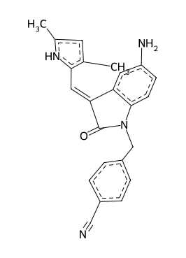 Cc1cc(C)c(C=C2C(=O)N(Cc3ccc(C#N)cc3)c3ccc(N)cc32)[nH]1